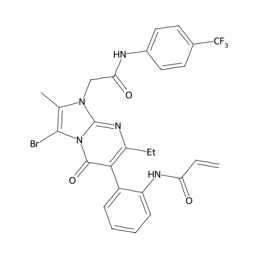 C=CC(=O)Nc1ccccc1-c1c(CC)nc2n(CC(=O)Nc3ccc(C(F)(F)F)cc3)c(C)c(Br)n2c1=O